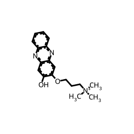 C[N+](C)(C)CCCOc1cc2nc3ccccc3nc2cc1O